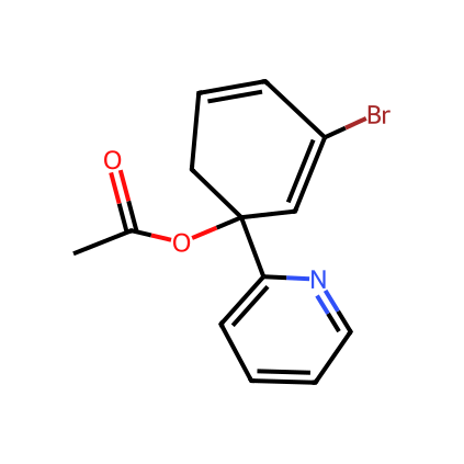 CC(=O)OC1(c2ccccn2)C=C(Br)C=CC1